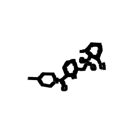 Cc1cccc(Cl)c1S(=O)(=O)Cc1cccc(C(=O)N2CCC(C)CC2)n1